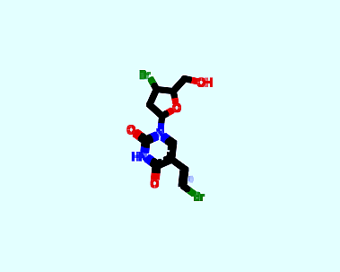 O=c1[nH]c(=O)n(C2CC(Br)C(CO)O2)cc1/C=C/Br